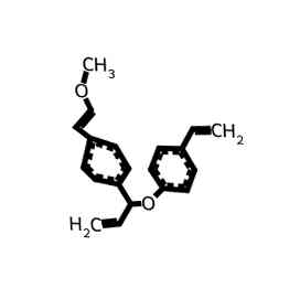 C=Cc1ccc(OC(C=C)c2ccc(C=COC)cc2)cc1